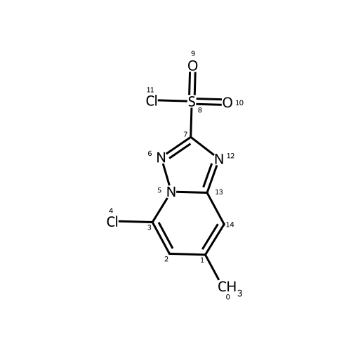 Cc1cc(Cl)n2nc(S(=O)(=O)Cl)nc2c1